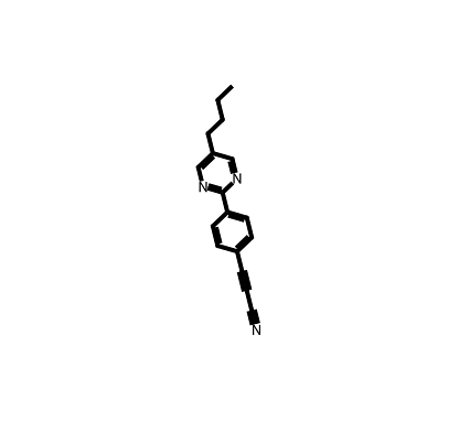 CCCCc1cnc(-c2ccc(C#CC#N)cc2)nc1